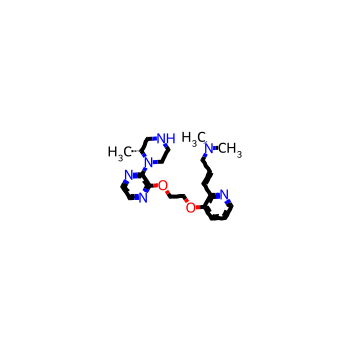 C[C@@H]1CNCCN1c1nccnc1OCCOc1cccnc1/C=C/CN(C)C